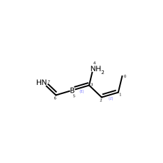 C/C=C\C(N)=B/C=N